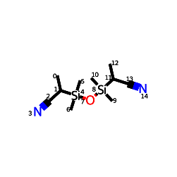 CC(C#N)[Si](C)(C)O[Si](C)(C)C(C)C#N